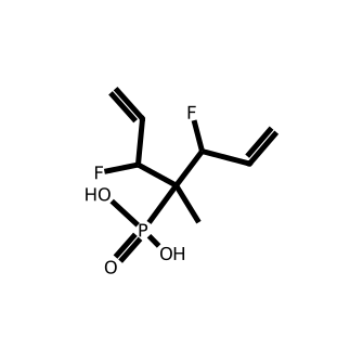 C=CC(F)C(C)(C(F)C=C)P(=O)(O)O